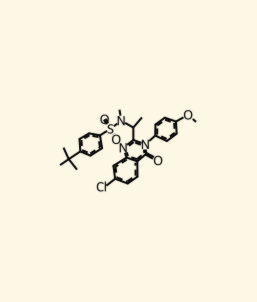 COc1ccc(-n2c(C(C)N(C)S(=O)(=O)c3ccc(C(C)(C)C)cc3)nc3cc(Cl)ccc3c2=O)cc1